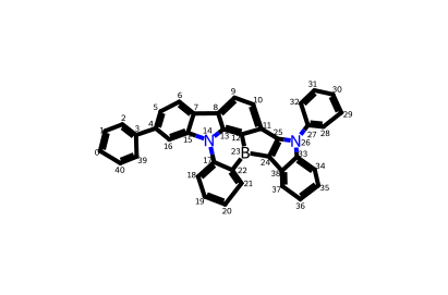 c1ccc(-c2ccc3c4ccc5c6c4n(c3c2)-c2ccccc2B6c2c-5n(-c3ccccc3)c3ccccc23)cc1